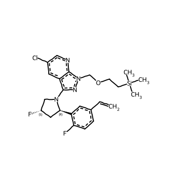 C=Cc1ccc(F)c([C@H]2C[C@H](F)CN2c2nn(COCC[Si](C)(C)C)c3ncc(Cl)cc23)c1